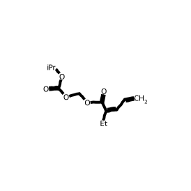 C=CC=C(CC)C(=O)OCOC(=O)OC(C)C